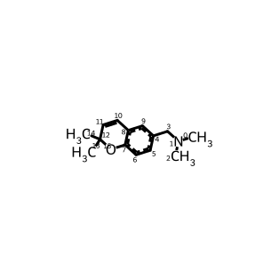 CN(C)Cc1ccc2c(c1)C=CC(C)(C)O2